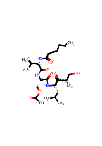 CCCCCC(=O)N[C@H](C(=O)N[C@@H](COC(C)=O)C(=O)N[C@@H](CC(C)C)C(=O)[C@@H](C)CO)C(C)C